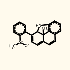 C[S+]([O-])c1ccccc1C1=CC=C2C=Cc3cccc4c3C2(C)C1N4